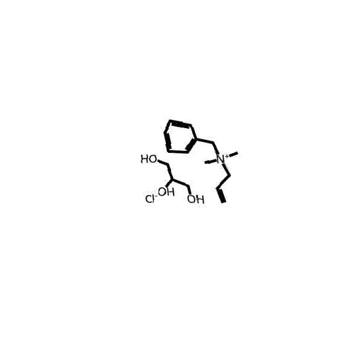 C=CC[N+](C)(C)Cc1ccccc1.OCC(O)CO.[Cl-]